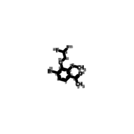 CSc1c(C(C)=O)ccc(Br)c1OCC(F)F